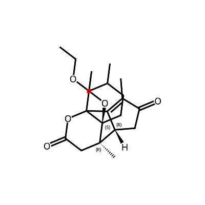 CCOC1C(C)CC[C@@]2(OCC)C13OC(=O)C[C@]2(C)[C@H]1CC(=O)C(C)=C13